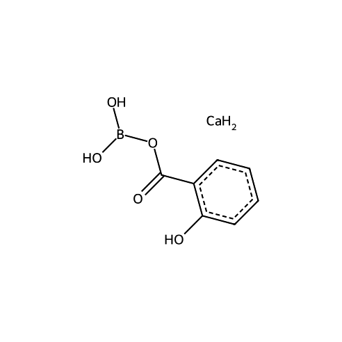 O=C(OB(O)O)c1ccccc1O.[CaH2]